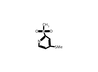 CSc1ccnc(S(C)(=O)=O)c1